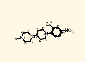 CN1CCN(C2CCN(c3ccc([N+](=O)[O-])cc3Cl)CC2)CC1